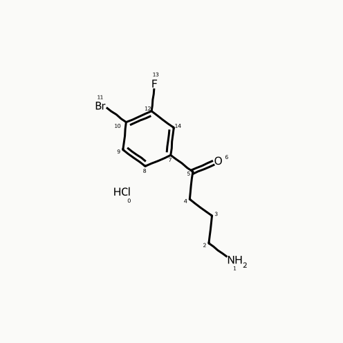 Cl.NCCCC(=O)c1ccc(Br)c(F)c1